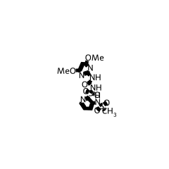 COc1cc(OC)nc(NC(=O)NS(=O)(=O)c2ncccc2NS(C)(=O)=O)n1